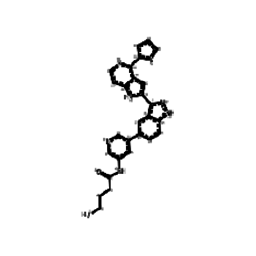 CCCCC(=O)Nc1cncc(-c2ccc3[nH]nc(-c4cc5c(-c6cccs6)nccc5[nH]4)c3c2)c1